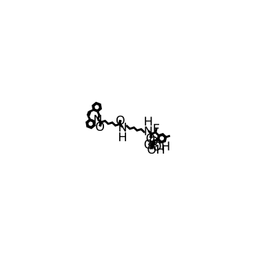 Cc1ccc(OP(=O)(O)O)c(C(F)C(=O)NCCCCCCNC(=O)CCCCC(=O)N2Cc3ccccc3C#Cc3ccccc32)c1